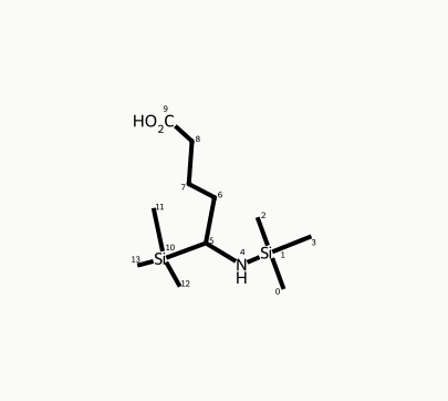 C[Si](C)(C)NC(CCCC(=O)O)[Si](C)(C)C